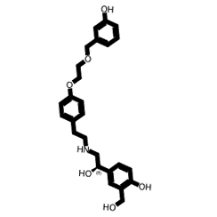 OCc1cc([C@@H](O)CNCCc2ccc(OCCOCc3cccc(O)c3)cc2)ccc1O